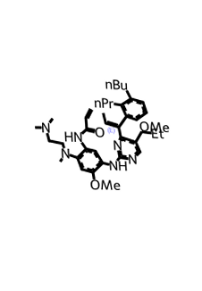 C=CC(=O)Nc1cc(Nc2ncc(C(CC)OC)c(/C(=C/C)c3cccc(CCCC)c3CCC)n2)c(OC)cc1N(C)CCN(C)C